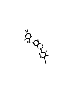 Cc1c(C#N)nnc(N2CCc3ncc(Nc4ccc(Cl)cc4F)cc3C2)c1C